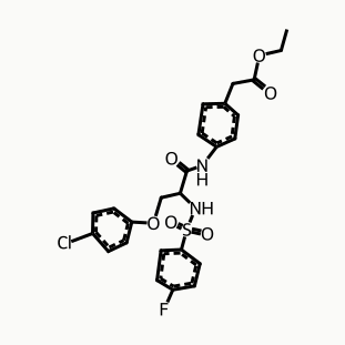 CCOC(=O)Cc1ccc(NC(=O)C(COc2ccc(Cl)cc2)NS(=O)(=O)c2ccc(F)cc2)cc1